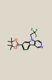 CC1(C)OB(c2ccc3c4cnccc4n(CC(F)(F)F)c3c2)OC1(C)C